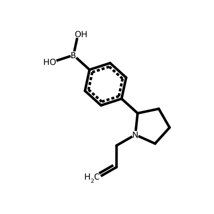 C=CCN1CCCC1c1ccc(B(O)O)cc1